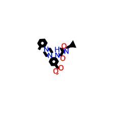 COC(=O)c1ccc(N2CCN(c3ccccc3C)CC2)c(NC(=O)c2coc(C3CC3)n2)c1